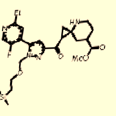 CCc1cc(-c2cc(C(=O)C3CC34CC(C(=O)OC)CCN4)nn2COCC[Si](C)(C)C)c(F)cn1